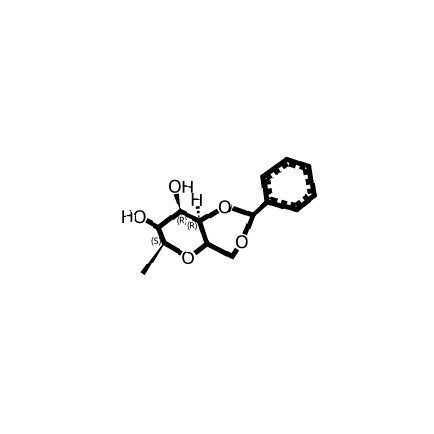 C[C@@H]1OC2COC(c3ccccc3)O[C@@H]2[C@H](O)C1O